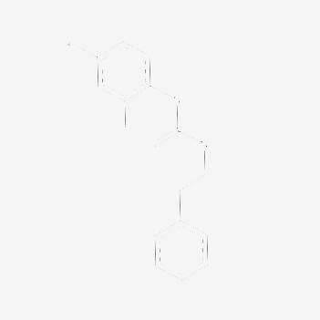 O=C(Nc1ccc(Br)cc1F)N[C@@H](Cc1ccccc1)C(=O)O